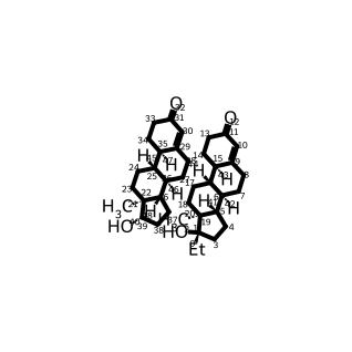 CC[C@]1(O)CC[C@H]2[C@@H]3CCC4=CC(=O)CC[C@@H]4[C@H]3CC[C@@]21C.C[C@]12CC[C@H]3[C@@H](CCC4=CC(=O)CC[C@@H]43)[C@@H]1CC[C@@H]2O